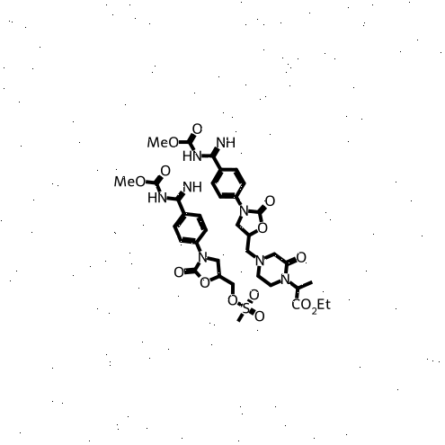 CCOC(=O)C(C)N1CCN(CC2CN(c3ccc(C(=N)NC(=O)OC)cc3)C(=O)O2)CC1=O.COC(=O)NC(=N)c1ccc(N2CC(COS(C)(=O)=O)OC2=O)cc1